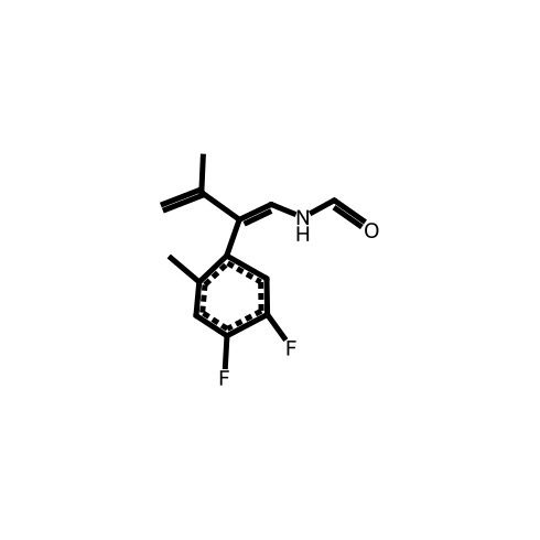 C=C(C)/C(=C/NC=O)c1cc(F)c(F)cc1C